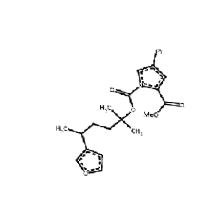 COC(=O)c1cc(C(C)C)cn1C(=O)OC(C)(C)CCC(C)c1ccoc1